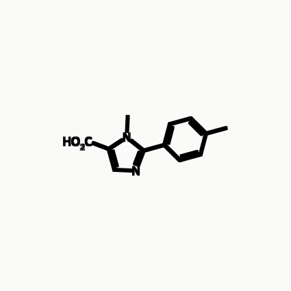 Cc1ccc(-c2ncc(C(=O)O)n2C)cc1